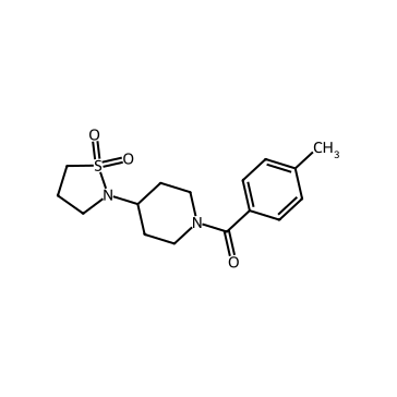 Cc1ccc(C(=O)N2CCC(N3CCCS3(=O)=O)CC2)cc1